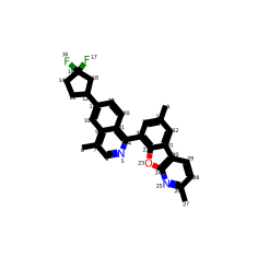 Cc1cc(-c2ncc(C)c3cc(C4CCC(F)(F)C4)ccc23)c2oc3nc(C)ccc3c2c1